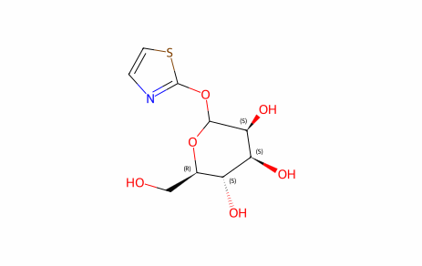 OC[C@H]1OC(Oc2nccs2)[C@@H](O)[C@@H](O)[C@@H]1O